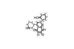 O=c1[nH]c(=O)c2c(C3CCCNC3)cc(-c3ccccc3O)nc2[nH]1